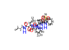 C=CCCNC(=O)C(=O)C(CC1CC1)NC(=O)[C@@H]1CC(C)(C)C(C)CN1C(=O)[C@@H](NC(=O)NC1(CS(C)(=O)=O)CCCCC1)C(C)(C)C